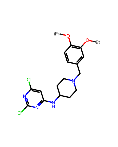 CCOc1cc(CN2CCC(Nc3cc(Cl)nc(Cl)n3)CC2)ccc1OC(C)C